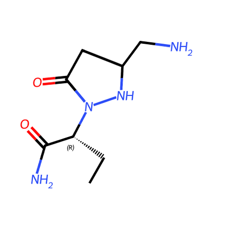 CC[C@H](C(N)=O)N1NC(CN)CC1=O